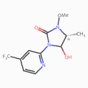 CON1C(=O)N(c2cc(C(F)(F)F)ccn2)C(O)[C@H]1C